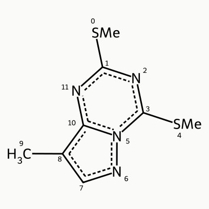 CSc1nc(SC)n2ncc(C)c2n1